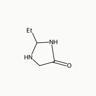 [CH2]CC1NCC(=O)N1